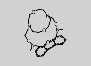 CN1CCN2CCOCCN(CCOCC2)CCN(C)c2cccc3c2oc2c1cccc23